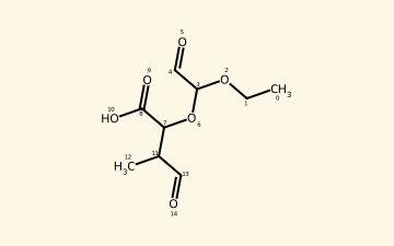 CCOC(C=O)OC(C(=O)O)C(C)C=O